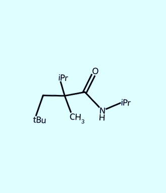 CC(C)NC(=O)C(C)(CC(C)(C)C)C(C)C